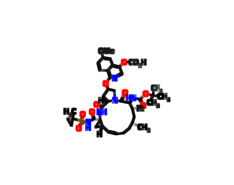 CC[C@@H]1C[C@H](C)CC/C=C\[C@@H]2C[C@@]2(C(=O)NS(=O)(=O)C2(C)CC2)NC(=O)[C@@H]2C[C@@H](Oc3ncc(OC(=O)O)c4cc(OC)ccc34)CN2C(=O)[C@H]1NC(=O)OC(C)(C)C(F)(F)F